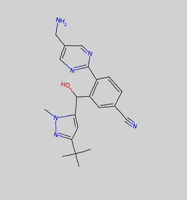 Cn1nc(C(C)(C)C)cc1C(O)c1cc(C#N)ccc1-c1ncc(CN)cn1